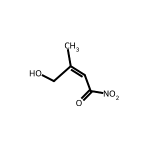 C/C(=C/C(=O)[N+](=O)[O-])CO